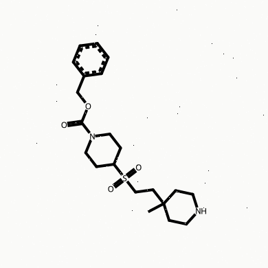 CC1(CCS(=O)(=O)C2CCN(C(=O)OCc3ccccc3)CC2)CCNCC1